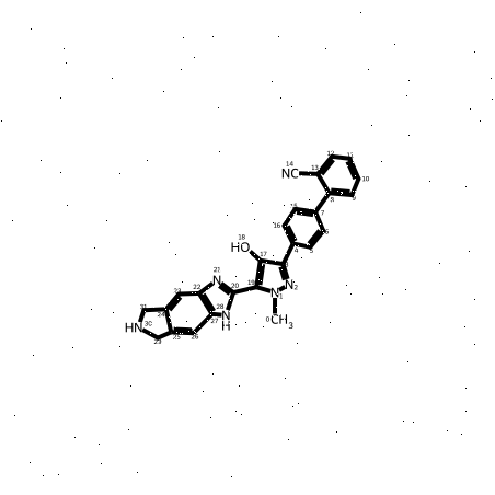 Cn1nc(-c2ccc(-c3ccccc3C#N)cc2)c(O)c1-c1nc2cc3c(cc2[nH]1)CNC3